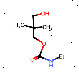 CCNC(=O)OCC(C)(C)CO